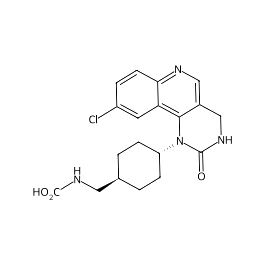 O=C(O)NC[C@H]1CC[C@H](N2C(=O)NCc3cnc4ccc(Cl)cc4c32)CC1